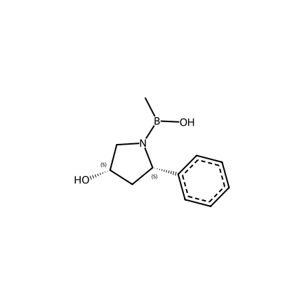 CB(O)N1C[C@@H](O)C[C@H]1c1ccccc1